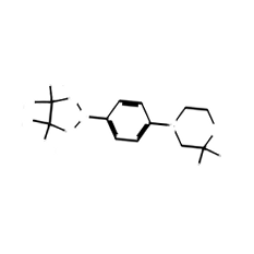 CC1(C)CN(c2ccc(B3OC(C)(C)C(C)(C)O3)cc2)CCO1